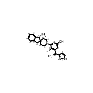 C=C(c1cc[nH]n1)c1cc(O)nc(N2CCC3(CC2)Cc2ccccc2[C@H]3N)c1F